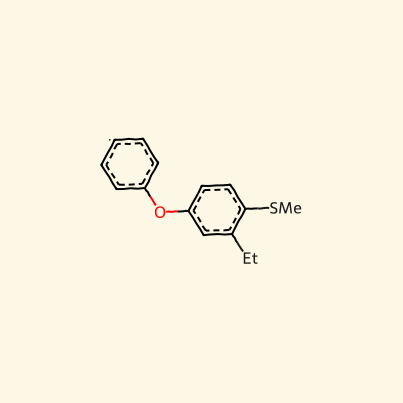 CCc1cc(Oc2cc[c]cc2)ccc1SC